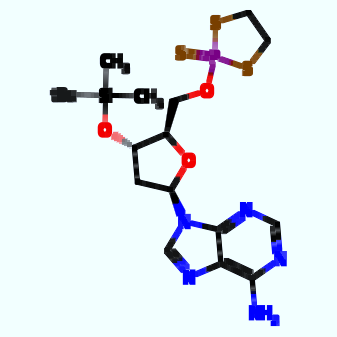 CC(C)(C)[Si](C)(C)O[C@H]1C[C@H](n2cnc3c(N)ncnc32)O[C@@H]1COP1(=S)SCCS1